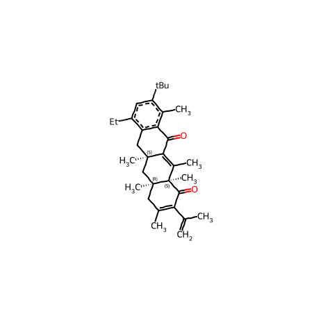 C=C(C)C1=C(C)C[C@@]2(C)C[C@@]3(C)Cc4c(CC)cc(C(C)(C)C)c(C)c4C(=O)C3=C(C)[C@@]2(C)C1=O